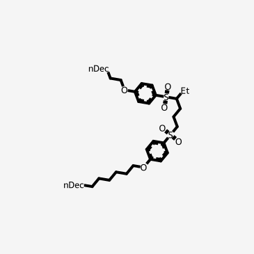 CCCCCCCCCCCCCCCCOc1ccc(S(=O)(=O)CCC[C](CC)S(=O)(=O)c2ccc(OCCCCCCCCCCCC)cc2)cc1